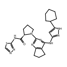 O=C(Nc1nncs1)[C@H]1CCCN1c1nc2c(c(Nc3cc(C4CCCCC4)[nH]n3)n1)CCC2